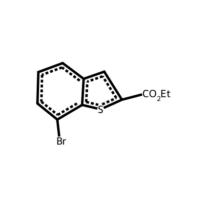 CCOC(=O)c1cc2cccc(Br)c2s1